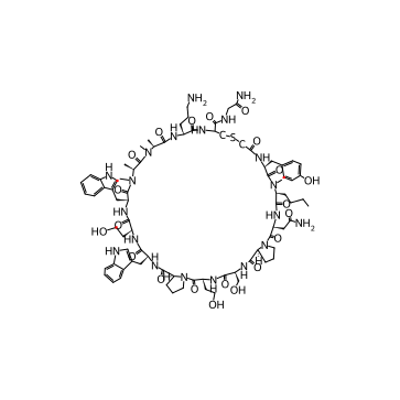 CCCC[C@H]1C(=O)N[C@@H](CC(N)=O)C(=O)N2CCC[C@H]2C(=O)N[C@@H](CO)C(=O)N[C@@H](CCO)C(=O)N2CCC[C@H]2C(=O)N[C@@H](Cc2c[nH]c3ccccc23)C(=O)N[C@@H](CCO)C(=O)N[C@@H](Cc2c[nH]c3ccccc23)C(=O)N(C)[C@@H](C)C(=O)N(C)[C@@H](C)C(=O)N[C@@H](CCCN)C(=O)NC(C(=O)NCC(N)=O)CSCC(=O)N[C@@H](Cc2ccc(O)cc2)C(=O)N1C